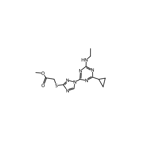 CCNc1nc(C2CC2)nc(-n2cnc(SCC(=O)OC)n2)n1